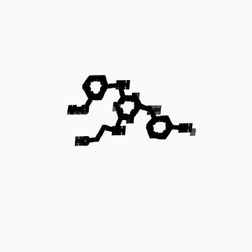 COc1cccc(Nc2nc(NCCO)nc(Nc3cccc(N)c3)n2)c1